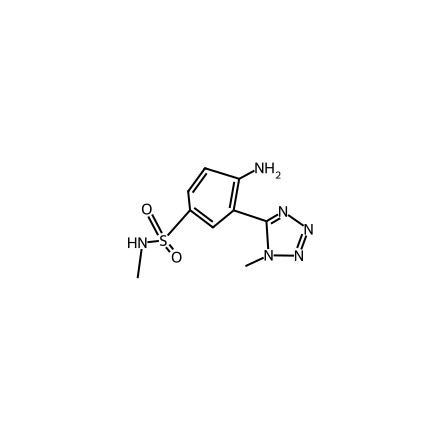 CNS(=O)(=O)c1ccc(N)c(-c2nnnn2C)c1